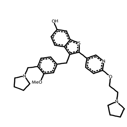 COc1cc(Cc2c(-c3ccc(OCCN4CCCC4)nc3)sc3cc(O)ccc23)ccc1CN1CCCC1